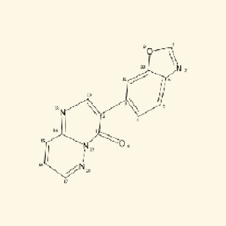 O=c1c(-c2ccc3ncoc3c2)cnc2cccnn12